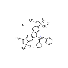 CC1=CC(C)(C)c2cc3c(cc21)-c1cc2c(cc1[CH]3/[Zr+2](=[CH]/c1ccccc1)[C]1=CC=CC1)C(C)(C)C=C2C.[Cl-].[Cl-]